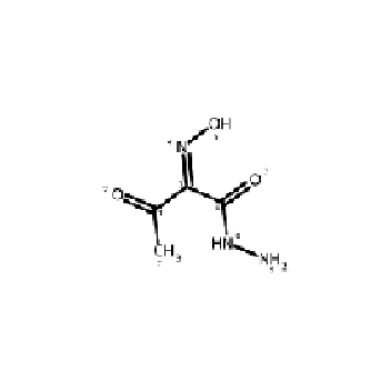 CC(=O)/C(=N/O)C(=O)NN